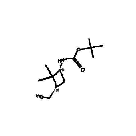 CC(C)(C)OC(=O)N[C@@H]1C[C@H](CO)C1(C)C